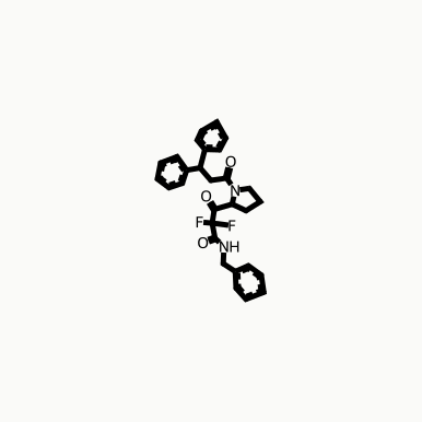 O=C(CC(c1ccccc1)c1ccccc1)N1CCCC1C(=O)C(F)(F)C(=O)NCc1ccccc1